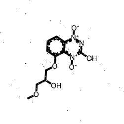 COCC(O)COc1cccc2c1[n+]([O-])c(O)n[n+]2[O-]